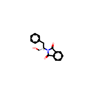 O=C1c2ccccc2C(=O)N1[C@H](CO)Cc1ccccc1